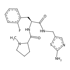 CN1CCCC1C(=O)N[C@@H](Cc1ccccc1F)C(=O)NCc1cnc(N)s1